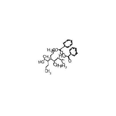 CCCC(C(C)O)C(CCC)C(O)CC.O=C(O)c1ccccc1.O=C(O)c1ccccc1